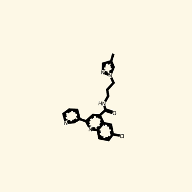 Cc1cnn(CCCNC(=O)c2cc(-c3cccnc3)nc3ccc(Cl)cc23)c1